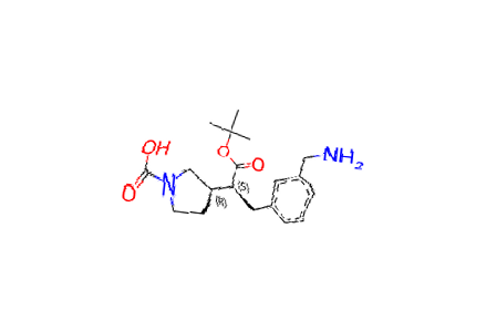 CC(C)(C)OC(=O)[C@@H](Cc1cccc(CN)c1)[C@H]1CCN(C(=O)O)C1